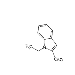 O=Cc1cc2ccccc2n1CC(F)(F)F